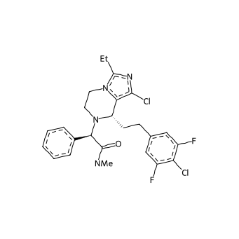 CCc1nc(Cl)c2n1CCN([C@@H](C(=O)NC)c1ccccc1)[C@H]2CCc1cc(F)c(Cl)c(F)c1